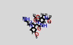 COc1ccc2c(c1)c(C1C(=O)Nc3cc4c(cc3N1OC(C)=O)CCN4C(C)=O)cn2CCCN